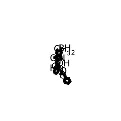 Bc1cc2ncn(CC3(O)C[C@@H]4[C@H](CCCN4C(=O)OCc4ccccc4)O3)c(=O)c2cc1C